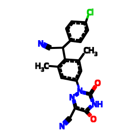 Cc1cc(-n2nc(C#N)c(=O)[nH]c2=O)cc(C)c1C(C#N)c1ccc(Cl)cc1